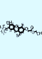 CCOC(=O)COc1cc(Br)c(Cc2ccc(O)c(C(C)C)c2)c(Cl)c1F